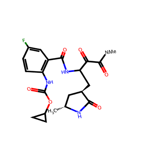 CNC(=O)C(=O)C(C[C@@H]1C[C@@H](C)NC1=O)NC(=O)c1cc(F)ccc1NC(=O)OC1CC1